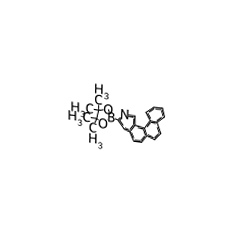 CC1(C)OB(c2cc3ccc4ccc5ccccc5c4c3cn2)OC1(C)C